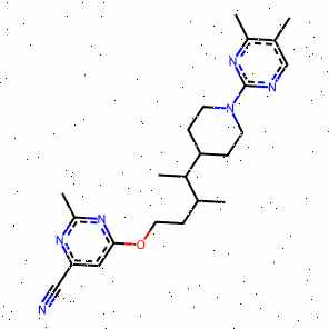 Cc1nc(C#N)cc(OCCC(C)C(C)C2CCN(c3ncc(C)c(C)n3)CC2)n1